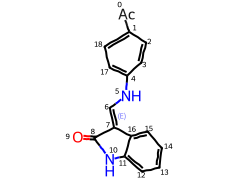 CC(=O)c1ccc(N/C=C2/C(=O)Nc3ccccc32)cc1